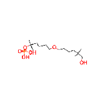 CC(C)(CO)CCCCOCCCCC(C)(C)OP(=O)(O)O